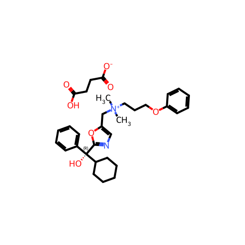 C[N+](C)(CCCOc1ccccc1)Cc1cnc([C@](O)(c2ccccc2)C2CCCCC2)o1.O=C([O-])CCC(=O)O